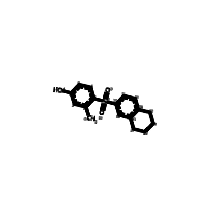 Cc1cc(O)ccc1S(=O)(=O)c1ccc2c(c1)CCCC2